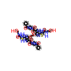 O=C(NCCO)c1csc(-c2ncc(OCCOc3cnc(-c4nc(C(=O)NCCO)cs4)c4[nH]cc(C(=O)C(=O)N5CCN(C(=O)c6ccccc6)CC5)c34)c3c(C(=O)C(=O)N4CCN(C(=O)c5ccccc5)CC4)c[nH]c23)n1